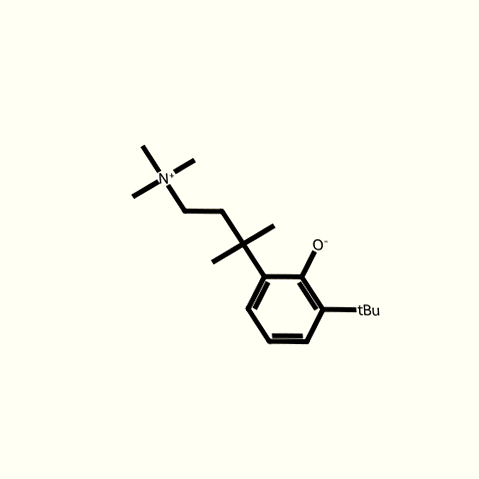 CC(C)(C)c1cccc(C(C)(C)CC[N+](C)(C)C)c1[O-]